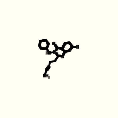 NC#CCCc1nc2cc(Cl)ccc2c(=O)n1Nc1ccccc1